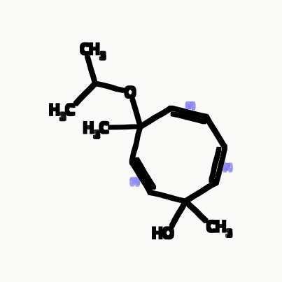 CC(C)OC1(C)/C=C\C=C/C(C)(O)/C=C\1